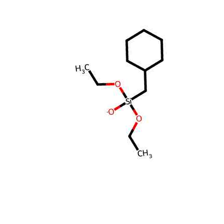 CCO[Si]([O])(CC1CCCCC1)OCC